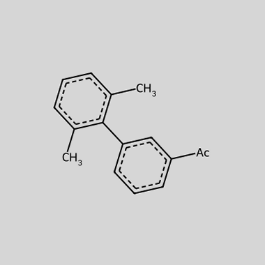 CC(=O)c1cccc(-c2c(C)cccc2C)c1